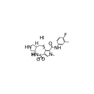 Cc1cc(NC(=O)c2c3c(cn2C)S(=O)(=O)N[C@H]2CNC[C@H]2CS3)ccc1F.I